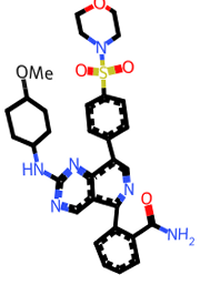 COC1CCC(Nc2ncc3c(-c4ccccc4C(N)=O)ncc(-c4ccc(S(=O)(=O)N5CCOCC5)cc4)c3n2)CC1